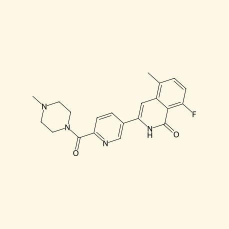 Cc1ccc(F)c2c(=O)[nH]c(-c3ccc(C(=O)N4CCN(C)CC4)nc3)cc12